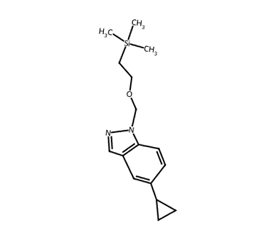 C[Si](C)(C)CCOCn1ncc2cc(C3CC3)ccc21